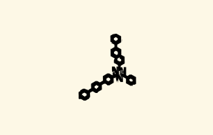 c1ccc(-c2ccc(-c3ccc(-c4nc(-c5ccccc5)nc(-c5ccc6cc(-c7ccccc7)ccc6c5)n4)cc3)cc2)cc1